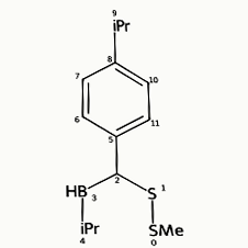 CSSC(BC(C)C)c1ccc(C(C)C)cc1